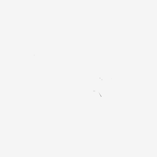 COC[C@@H](CCCOc1ccc(Cl)c(Cl)c1C=O)NC(=O)OC(C)(C)C